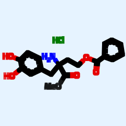 COC(=O)[C@@](N)(CCOC(=O)c1ccccc1)Cc1ccc(O)c(O)c1.Cl